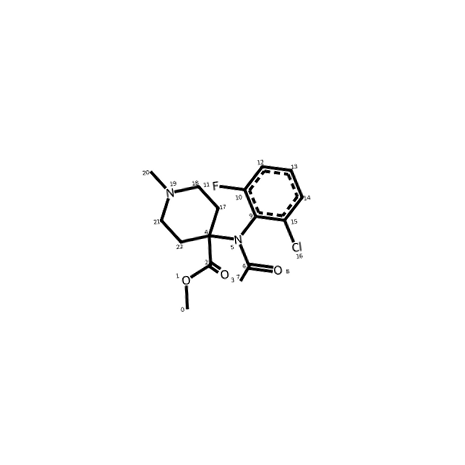 COC(=O)C1(N(C(C)=O)c2c(F)cccc2Cl)CCN(C)CC1